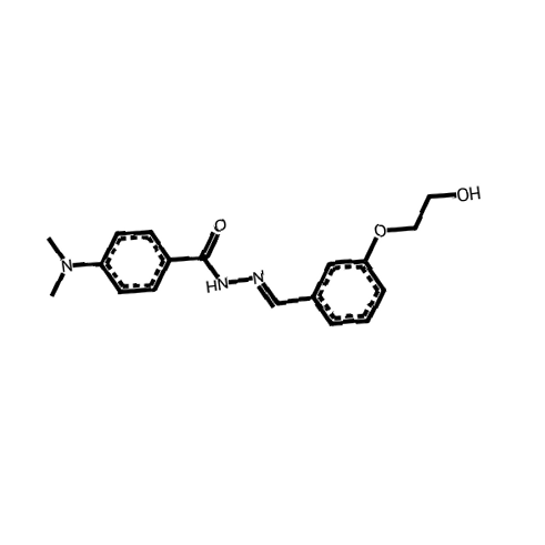 CN(C)c1ccc(C(=O)N/N=C/c2cccc(OCCO)c2)cc1